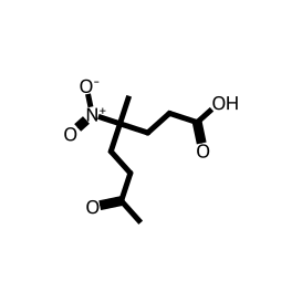 CC(=O)CCC(C)(CCC(=O)O)[N+](=O)[O-]